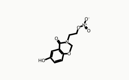 O=C1c2cc(O)ccc2OCN1CCO[N+](=O)[O-]